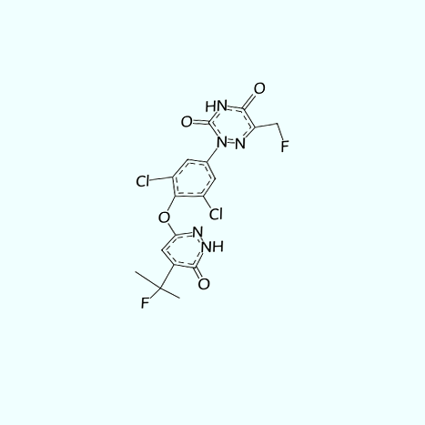 CC(C)(F)c1cc(Oc2c(Cl)cc(-n3nc(CF)c(=O)[nH]c3=O)cc2Cl)n[nH]c1=O